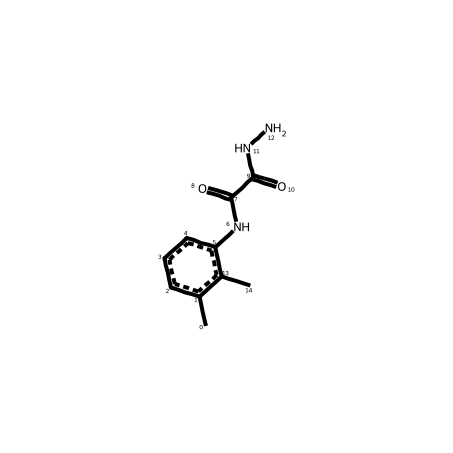 Cc1cccc(NC(=O)C(=O)NN)c1C